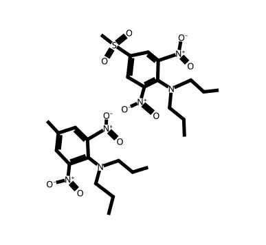 CCCN(CCC)c1c([N+](=O)[O-])cc(C)cc1[N+](=O)[O-].CCCN(CCC)c1c([N+](=O)[O-])cc(S(C)(=O)=O)cc1[N+](=O)[O-]